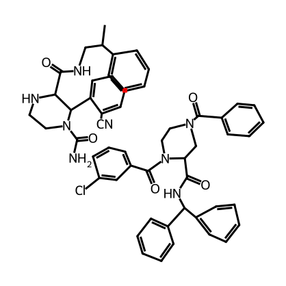 CC(CNC(=O)C1NCCN(C(N)=O)C1c1ccccc1C#N)c1ccccc1.O=C(NC(c1ccccc1)c1ccccc1)C1CN(C(=O)c2ccccc2)CCN1C(=O)c1cccc(Cl)c1